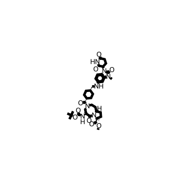 COC(=O)[C@@H]1CC[C@@H]2CCN(C(=O)[C@H]3CC[C@@H](CNc4ccc5c(c4)n(C)c(=O)n5C4CCC(=O)NC4=O)CC3)C[C@H](NC(=O)OC(C)(C)C)C(=O)N21